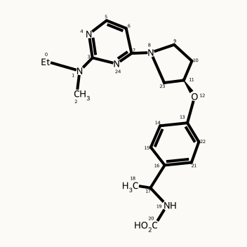 CCN(C)c1nccc(N2CC[C@@H](Oc3ccc(C(C)NC(=O)O)cc3)C2)n1